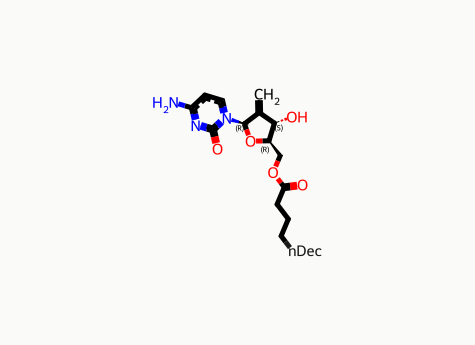 C=C1[C@H](n2ccc(N)nc2=O)O[C@H](COC(=O)CCCCCCCCCCCCC)[C@H]1O